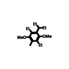 CCc1c(C)c(OC)c(CC)c(C(CC)CC)c1OC